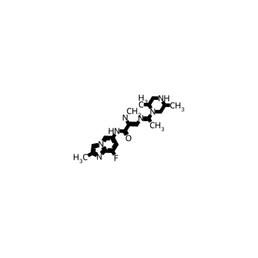 C=N/C(=C\N=C(/C)N1CC(C)NCC1C)C(=O)Nc1cc(F)c2nc(C)cn2c1